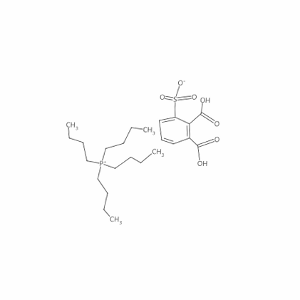 CCCC[P+](CCCC)(CCCC)CCCC.O=C(O)c1cccc(S(=O)(=O)[O-])c1C(=O)O